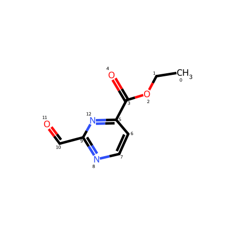 CCOC(=O)c1ccnc(C=O)n1